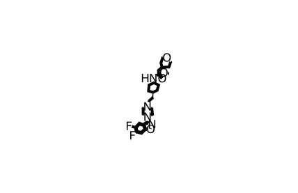 COC1(CC(=O)N[C@H]2CC[C@H](CCN3CCN(c4noc5cc(F)c(F)cc45)CC3)CC2)CCOCC1